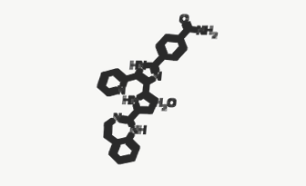 NC(=O)c1ccc(-c2nc(-c3ccc(C4=NC=Cc5ccccc5N4)[nH]3)c(-c3ccccn3)[nH]2)cc1.O